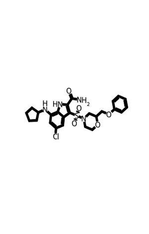 NC(=O)c1[nH]c2c(NC3CCCC3)cc(Cl)cc2c1S(=O)(=O)N1CCOC(COc2ccccc2)C1